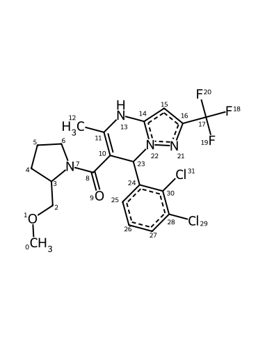 COCC1CCCN1C(=O)C1=C(C)Nc2cc(C(F)(F)F)nn2C1c1cccc(Cl)c1Cl